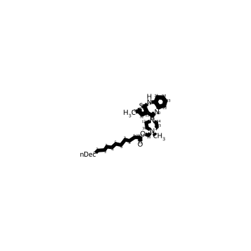 CCCCCCCCCCCCCCCCCCCC(=O)OC[N+]1(C)CCN(C2=Nc3ccccc3Nc3sc(C)cc32)CC1